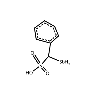 O=S(=O)(O)[CH]([SbH2])c1ccccc1